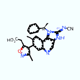 Cc1cc2c(cc1-c1c(C)noc1CC(=O)O)ncc1[nH]/c(=N\C#N)n([C@H](C)c3ccccc3)c12